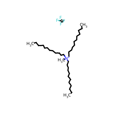 CCCCCCCCCCCC[N+](C)(CCCCCCCCCCCC)CCCCCCCCCCCC.F[B-](F)(F)F